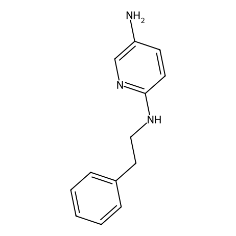 Nc1ccc(NCCc2ccccc2)nc1